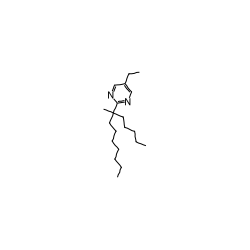 CCCCCCCC(C)(CCCCC)c1ncc(CC)cn1